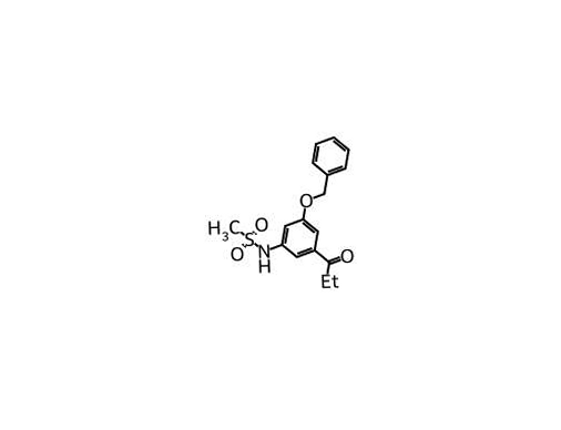 CCC(=O)c1cc(NS(C)(=O)=O)cc(OCc2ccccc2)c1